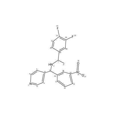 CC(NC(c1ccncc1)c1cccc([N+](=O)[O-])c1)c1ccc(F)c(F)c1